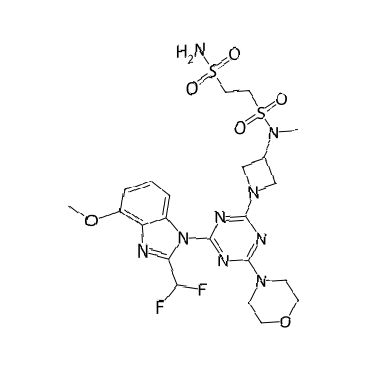 COc1cccc2c1nc(C(F)F)n2-c1nc(N2CCOCC2)nc(N2CC(N(C)S(=O)(=O)CCS(N)(=O)=O)C2)n1